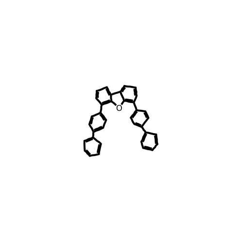 c1ccc(-c2ccc(-c3cccc4c3oc3c(-c5ccc(-c6ccccc6)cc5)cccc34)cc2)cc1